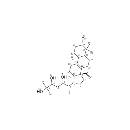 C=C[C@@]12CC[C@H]([C@H](C)[C@@H](O)CC(O)C(C)(C)O)[C@@]1(C)CCC1=C2CCC2C(C)(C)[C@@H](O)CC[C@]12C